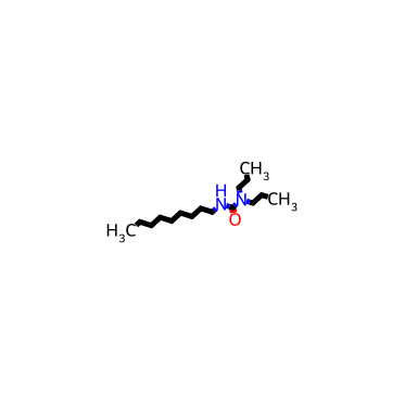 CCCCCCCCCNC(=O)N(CCC)CCC